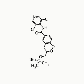 CC(C)(C)[Si](C)(C)OCC1Cc2cc(C(=O)Nc3c(Cl)cncc3Cl)ccc2OO1